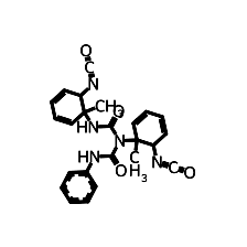 CC1(NC(=O)N(C(=O)Nc2ccccc2)C2(C)C=CC=CC2N=C=O)C=CC=CC1N=C=O